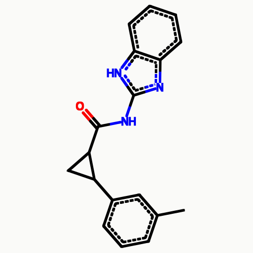 Cc1cccc(C2CC2C(=O)Nc2nc3ccccc3[nH]2)c1